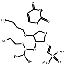 COP(=O)(/C=C/[C@H]1O[C@@H](n2ccc(=O)[nH]c2=O)[C@H](OCCCN)[C@@H]1OP(OCCC#N)N(C(C)C)C(C)C)OC